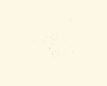 NCCCCCc1ccc2c(c1)C(=O)N(CCC(=O)O)CC(=O)N2Cc1ccc(C(F)(F)F)cc1.O=C(O)C(F)(F)F